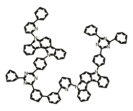 c1ccc(-c2cccc(-n3c4ccccc4c4c3ccc3c5ccccc5n(-c5ccc(-c6nc(-c7ccccc7)nc(-c7cccc(-c8cccc(-c9cccc(-n%10c%11ccccc%11c%11c%12c%13ccccc%13n(-c%13ccc(-c%14nc(-c%15ccccc%15)nc(-c%15ccccc%15)n%14)cc%13)c%12ccc%11%10)n9)c8)c7)n6)cc5)c34)n2)cc1